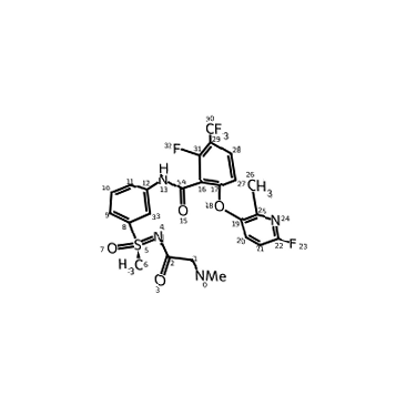 CNCC(=O)N=[S@](C)(=O)c1cccc(NC(=O)c2c(Oc3ccc(F)nc3C)ccc(C(F)(F)F)c2F)c1